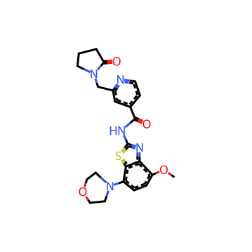 COc1ccc(N2CCOCC2)c2sc(NC(=O)c3ccnc(CN4CCCC4=O)c3)nc12